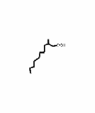 CCCCCC=CCC(C)CCO